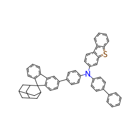 c1ccc(-c2ccc(N(c3ccc(-c4ccc5c(c4)-c4ccccc4C54C5CC6CC(C5)CC4C6)cc3)c3ccc4c(c3)sc3ccccc34)cc2)cc1